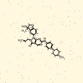 C=CCn1c(=O)c2cnc(Nc3ccc(N4CCN(C)CC4)cc3)nc2n1-c1ccc2c(n1)C(C)(O)CO2